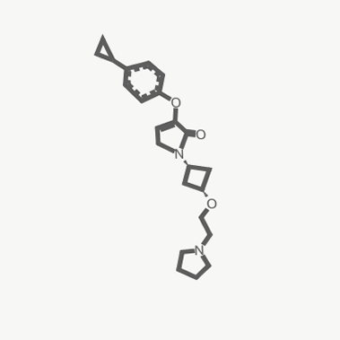 O=C1C(Oc2ccc(C3CC3)cc2)=CCN1[C@H]1C[C@@H](OCCN2CCCC2)C1